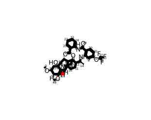 CO[C@H]1C[C@]2(O)C3CC4C5(CCC([C@H](C)N)[C@@]4(OC(=O)c4ccccc4NC(=O)c4ccc(OC(F)(F)F)cc4)[C@H](C)N35)C3C[C@H]1[C@H](OC)[C@@]32O